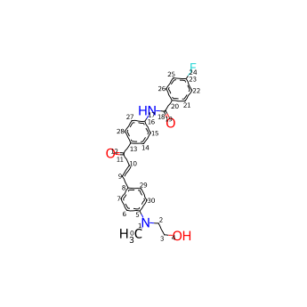 CN(CCO)c1ccc(/C=C/C(=O)c2ccc(NC(=O)c3ccc(F)cc3)cc2)cc1